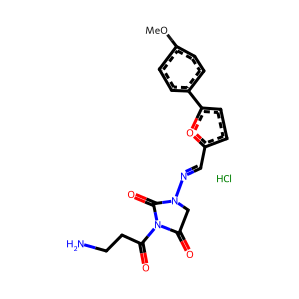 COc1ccc(-c2ccc(C=NN3CC(=O)N(C(=O)CCN)C3=O)o2)cc1.Cl